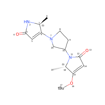 C[C@@H]1NC(=O)C=C1N1CCC(N2C(=O)C=C(OC(C)(C)C)[C@@H]2C)C1